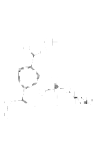 COC(=O)c1ccc(C(=O)OC)cc1.O=P([O-])([O-])[O-].[Na+].[Na+].[Na+]